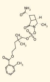 Cc1ccccc1C(=O)OCCCC(C)(C)COS(=O)(=O)ON1C(=O)C2[C@@H](C[C@H]2C(N)=O)[C@@H]1C